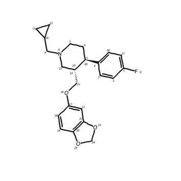 Fc1ccc([C@@H]2CCN(CC3CC3)C[C@H]2COc2ccc3c(c2)OCO3)cc1